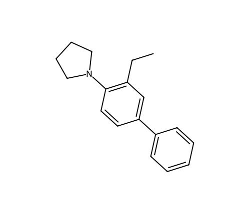 CCc1cc(-c2ccccc2)ccc1N1CCCC1